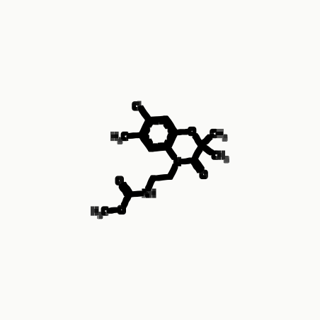 COC(=O)NCCN1C(=O)C(C)(C)Oc2cc(Cl)c(C)cc21